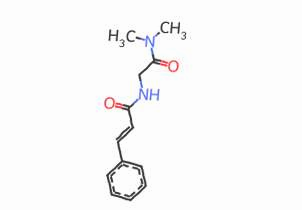 CN(C)C(=O)CNC(=O)/C=C/c1ccccc1